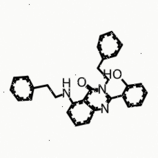 O=c1c2c(NCCc3ccccc3)cccc2nc(-c2ccccc2O)n1CCc1ccccc1